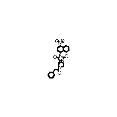 O=C1C2C3CC(CN3C(=O)Cc3ccccc3)N2C(=O)N1c1ccc([N+](=O)[O-])c2ccccc12